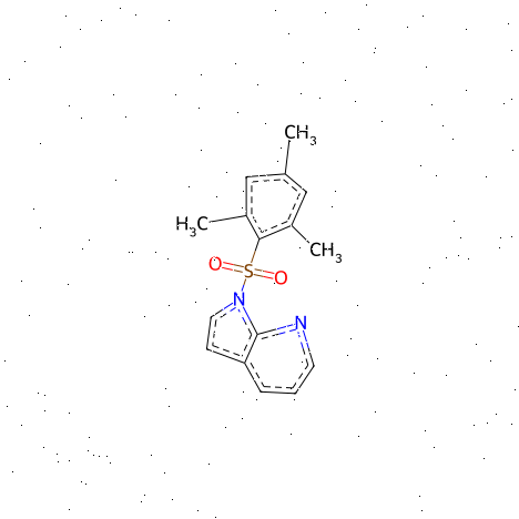 Cc1cc(C)c(S(=O)(=O)n2ccc3cccnc32)c(C)c1